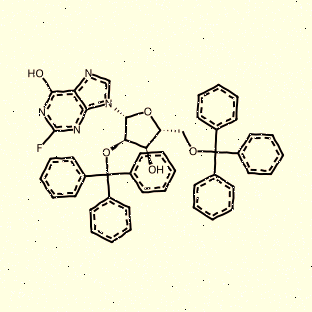 Oc1nc(F)nc2c1ncn2[C@@H]1O[C@H](COC(c2ccccc2)(c2ccccc2)c2ccccc2)[C@@H](O)[C@H]1OC(c1ccccc1)(c1ccccc1)c1ccccc1